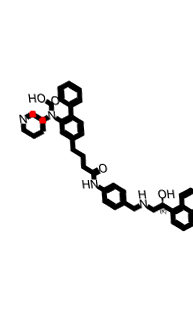 O=C(CCCc1ccc(-c2ccccc2)c(N(C(=O)O)C2CN3CCC2CC3)c1)Nc1ccc(CNC[C@H](O)c2ccc(O)c3[nH]c(=O)ccc23)cc1